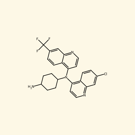 NC1CCC(N(c2ccnc3cc(Cl)ccc23)c2ccnc3cc(C(F)(F)F)ccc23)CC1